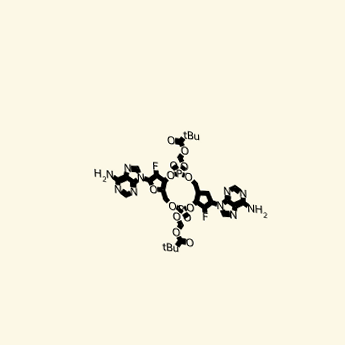 CC(C)(C)C(=O)OCOP1(=O)OCC2OC(n3cnc4c(N)ncnc43)C(F)C2OP(=O)(OCOC(=O)C(C)(C)C)OCC2CC(n3cnc4c(N)ncnc43)C(F)C2O1